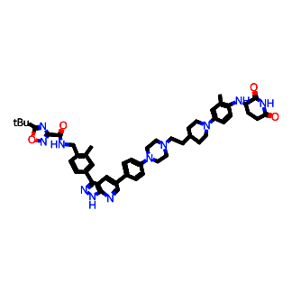 Cc1cc(-c2n[nH]c3ncc(-c4ccc(N5CCN(CCC6CCN(c7ccc(NC8CCC(=O)NC8=O)c(C)c7)CC6)CC5)cc4)cc23)ccc1CNC(=O)c1noc(C(C)(C)C)n1